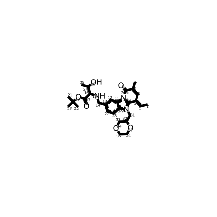 C/C=C(\C=C(\C)C(C)=O)c1nc2cc(CNC(C(=O)OC(C)(C)C)C(C)O)ccc2n1CC1COCCO1